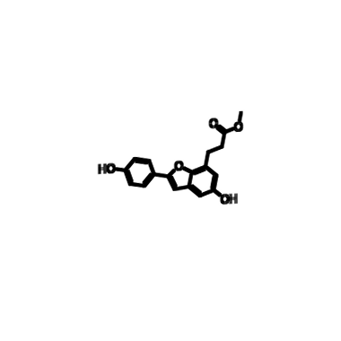 COC(=O)CCc1cc(O)cc2cc(-c3ccc(O)cc3)oc12